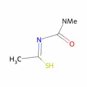 CNC(=O)N=C(C)S